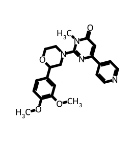 COc1ccc(C2CN(c3nc(-c4ccncc4)cc(=O)n3C)CCO2)cc1OC